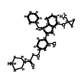 CC1(Oc2ncnc3c2nc(-c2ccc(OCC(=O)N4CCNCC4)cc2Cl)n3Cc2ccccc2)CC1